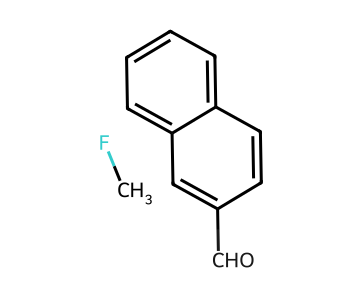 CF.O=Cc1ccc2ccccc2c1